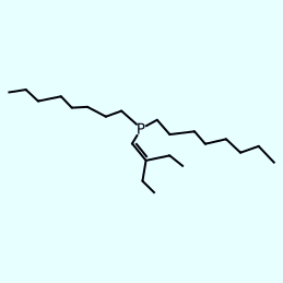 CCCCCCCCP(C=C(CC)CC)CCCCCCCC